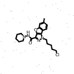 Cc1ccc2c(c1)oc1c(C(=O)NN3CCCCC3)nn(CCCCCCl)c12